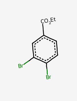 CCOC(=O)c1ccc(Br)c(Br)c1